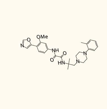 COc1cc(NC(=O)C(=O)NC(C)(C)CN2CCN(c3ccccc3C)CC2)ccc1-c1cnco1